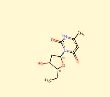 CC[C@H]1O[C@H](n2c(=O)cc(C)[nH]c2=O)CC1O